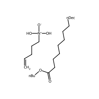 C=CCCC[N+]([O-])(O)O.CCCCCCCCCCCCCCCCCC(=O)OCCCC